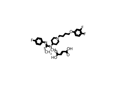 CSC(=Nc1ccc(F)cc1)N(C)C1CCN(CCCCOc2ccc(F)c(F)c2)CC1.O=C(O)C=CC(=O)O